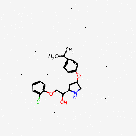 CC(C)c1ccc(OC2CN[C@@H](C(O)COc3ccccc3Cl)C2)cc1